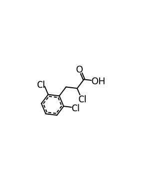 O=C(O)C(Cl)Cc1c(Cl)cccc1Cl